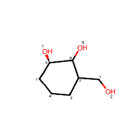 OCC1CCC[C@@H](O)C1O